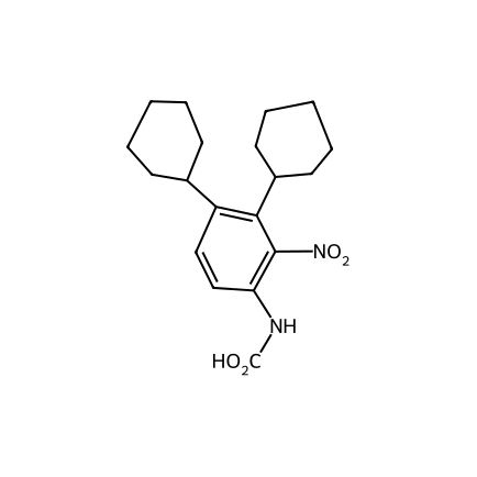 O=C(O)Nc1ccc(C2CCCCC2)c(C2CCCCC2)c1[N+](=O)[O-]